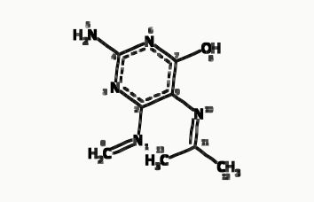 C=Nc1nc(N)nc(O)c1N=C(C)C